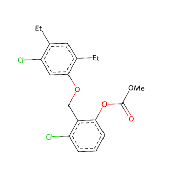 CCc1cc(CC)c(OCc2c(Cl)cccc2OC(=O)OC)cc1Cl